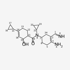 N=CC1=C(N)CCC(N(C(=O)C2CCC(C3CC3)=CC2O)C2CC2)C1